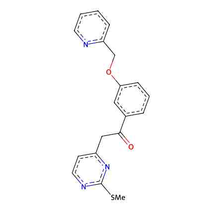 CSc1nccc(CC(=O)c2cccc(OCc3ccccn3)c2)n1